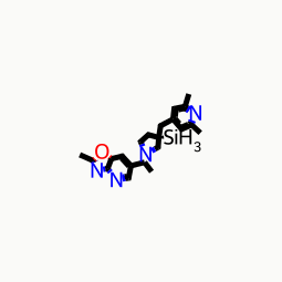 CC1=NC2N=CC(C(C)N3CC[C@]([SiH3])(Cc4cc(C)nc(C)c4)C3)=CC2O1